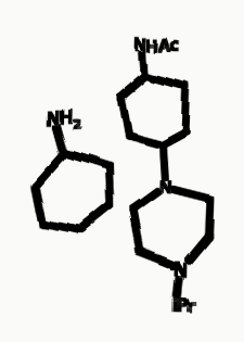 CC(=O)NC1CCC(N2CCN(C(C)C)CC2)CC1.NC1CCCCC1